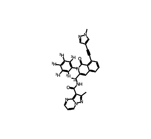 [2H]c1c([2H])c([2H])c(-n2c([C@H](C)NC(=O)c3c(C)nn4cccnc34)cc3cccc(C#Cc4cnn(C)c4)c3c2=O)c([2H])c1[2H]